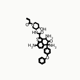 C=CC(=O)N1CC[C@@H](O)[C@H](NC(=O)c2sc3c(N)ccc4c3c2C(N)C(=O)C4(N)c2ccc(Oc3ccccc3)cc2)C1